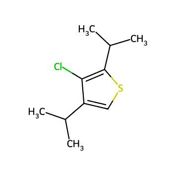 CC(C)c1csc(C(C)C)c1Cl